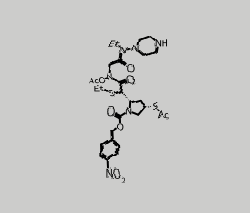 CCSC(C(=O)N(CC(=O)N(CC)N1CCNCC1)OC(C)=O)[C@@H]1C[C@H](SC(C)=O)CN1C(=O)OCc1ccc([N+](=O)[O-])cc1